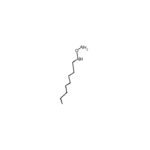 CCCCCCC[CH2][AlH][O][AlH2]